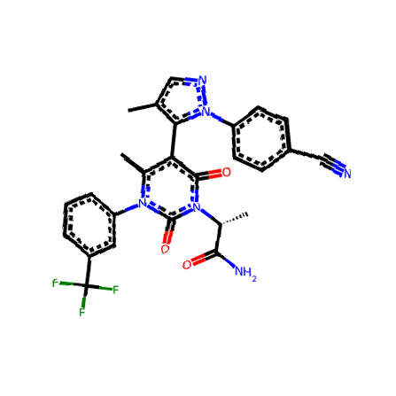 Cc1cnn(-c2ccc(C#N)cc2)c1-c1c(C)n(-c2cccc(C(F)(F)F)c2)c(=O)n([C@H](C)C(N)=O)c1=O